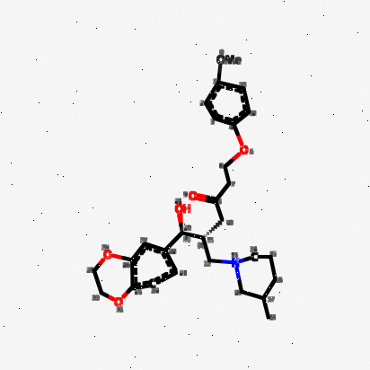 COc1ccc(OCCC(=O)C[C@H](CN2CCCC(C)C2)[C@H](O)c2ccc3c(c2)OCCO3)cc1